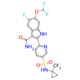 NC(=O)c1c(-c2ccc(S(=O)(=O)NC3(C(F)(F)F)CC3)cn2)[nH]c2cc(OC(F)F)c(F)cc12